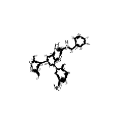 Cc1ccc(C#N)cc1-c1cc(-c2c(C)noc2C)cc2[nH]c(NCc3ccccc3)nc12